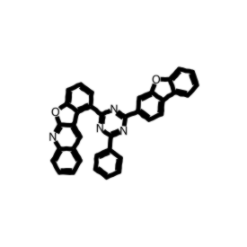 c1ccc(-c2nc(-c3ccc4c(c3)oc3ccccc34)nc(-c3cccc4oc5nc6ccccc6cc5c34)n2)cc1